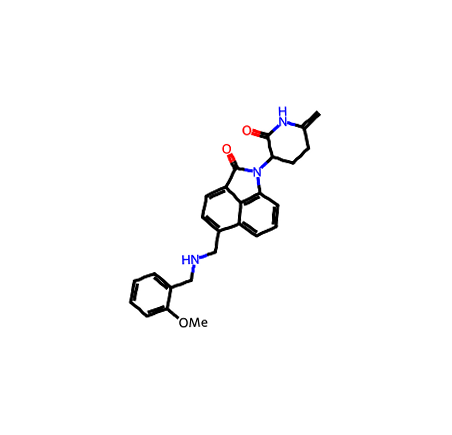 C=C1CCC(N2C(=O)c3ccc(CNCc4ccccc4OC)c4cccc2c34)C(=O)N1